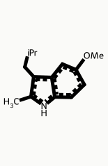 COc1ccc2[nH]c(C)c(CC(C)C)c2c1